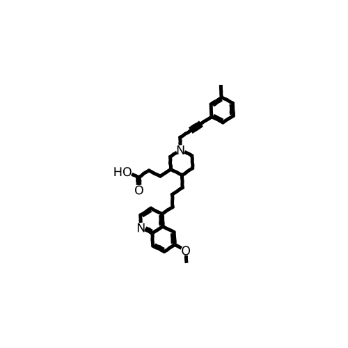 COc1ccc2nccc(CCCC3CCN(CC#Cc4cccc(C)c4)CC3CCC(=O)O)c2c1